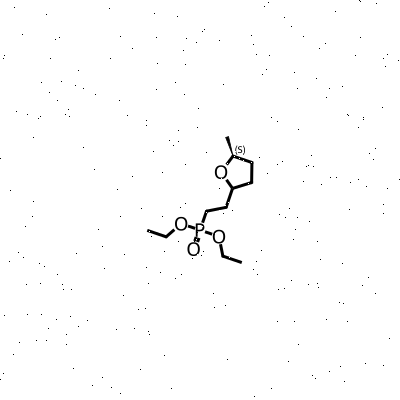 CCOP(=O)(CCC1CC[C@H](C)O1)OCC